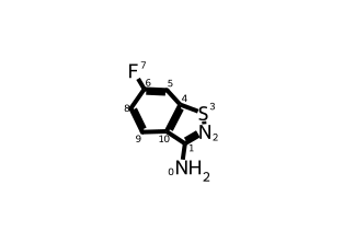 Nc1nsc2cc(F)ccc12